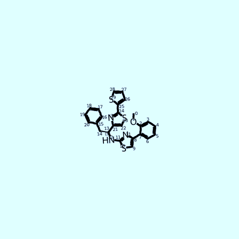 COc1ccccc1-c1csc(N[C@@H](Cc2cc[c]cc2)c2csc(-c3cccs3)n2)n1